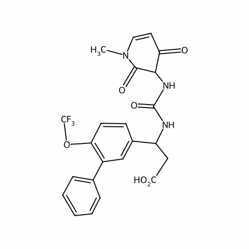 CN1C=CC(=O)C(NC(=O)NC(CC(=O)O)c2ccc(OC(F)(F)F)c(-c3ccccc3)c2)C1=O